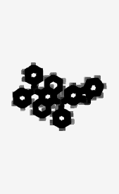 c1ccc(N(c2ccccc2)c2c3c(c(N(c4ccccc4)c4ccc5c(c4)oc4ccccc45)c4c2CCCC4)CCCC3)cc1